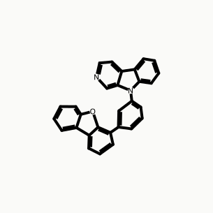 c1cc(-c2cccc3c2oc2ccccc23)cc(-n2c3ccccc3c3ccncc32)c1